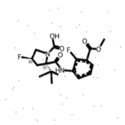 COC(=O)c1cccc(NC(=O)[C@@]2(C(C)(C)C)C[C@@H](F)CN2C(=O)O)c1F